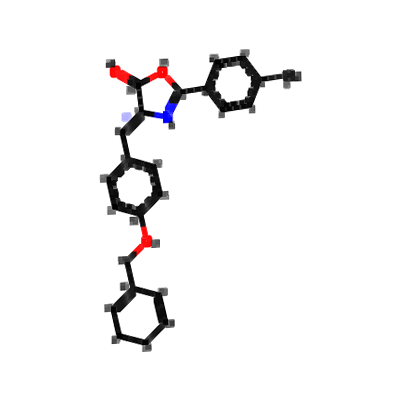 CC(C)(C)c1ccc(C2=N/C(=C\c3ccc(OCC4=CCCC=C4)cc3)C(=O)O2)cc1